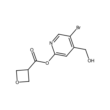 O=C(Oc1cc(CO)c(Br)cn1)C1COC1